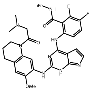 COc1cc2c(cc1Nc1nc(Nc3ccc(F)c(F)c3C(=O)NC(C)C)c3ccnc-3[nH]1)N(C(=O)CN(C)C)CCC2